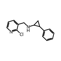 Clc1ncccc1CNC1CC1c1ccccc1